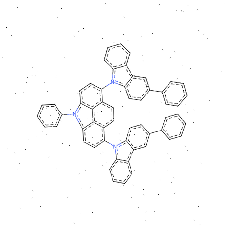 c1ccc(-c2ccc3c(c2)c2ccccc2n3-c2ccc3c4c2ccc2c(-n5c6ccccc6c6cc(-c7ccccc7)ccc65)ccc(c24)n3-c2ccccc2)cc1